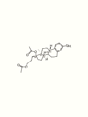 CC(=O)OCCC[C@]1(OC(C)=O)CC[C@H]2[C@@H]3CCc4cc(O)ccc4[C@H]3CC[C@@]21C